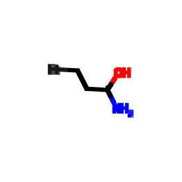 CCCC[C](N)O